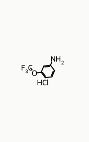 Cl.Nc1cccc(OC(F)(F)F)c1